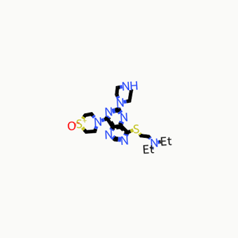 CCN(CC)CCSc1ncnc2c(N3CC[S+]([O-])CC3)nc(N3CCNCC3)nc12